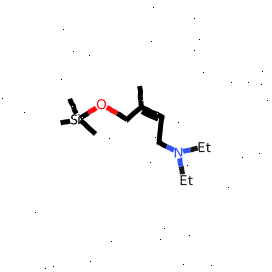 CCN(CC)CC=C(C)CO[Si](C)(C)C